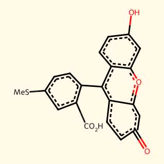 CSc1ccc(-c2c3ccc(=O)cc-3oc3cc(O)ccc23)c(C(=O)O)c1